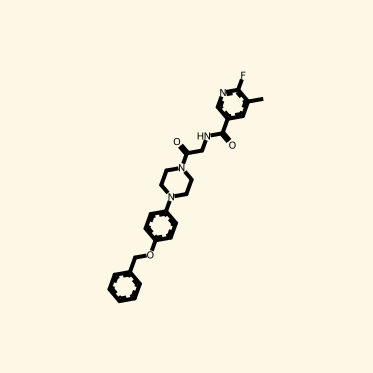 Cc1cc(C(=O)NCC(=O)N2CCN(c3ccc(OCc4ccccc4)cc3)CC2)cnc1F